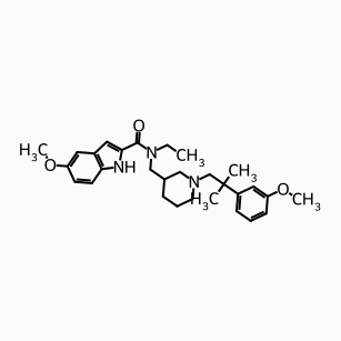 CCN(CC1CCCN(CC(C)(C)c2cccc(OC)c2)C1)C(=O)c1cc2cc(OC)ccc2[nH]1